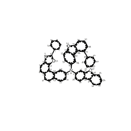 c1ccc(-c2nc3ccc4ccc5ccc(N(c6ccc7c(c6)oc6ccccc67)c6ccc7oc8cccc(-c9ccccc9)c8c7c6)cc5c4c3o2)cc1